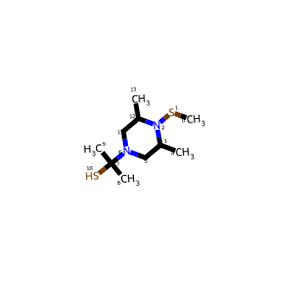 CSN1C(C)CN(C(C)(C)S)CC1C